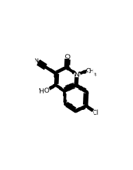 Cn1c(=O)c(C#N)c(O)c2ccc(Cl)cc21